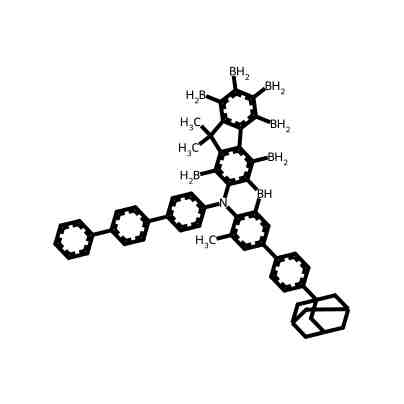 Bc1c(B)c(B)c2c(c1B)-c1c(B)c3c(c(B)c1C2(C)C)N(c1ccc(-c2ccc(-c4ccccc4)cc2)cc1)c1c(C)cc(-c2ccc(C45CC6CC(CC(C6)C4)C5)cc2)cc1B3